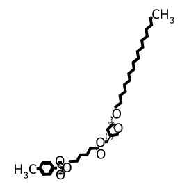 CCCCCCCCCCCCCCCCCCOC[C@H]1C[C@H](COC(=O)CCCCCOS(=O)(=O)c2ccc(C)cc2)CO1